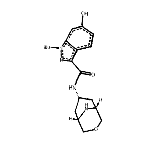 CC[C@H](C)n1nc(C(=O)N[C@H]2C[C@H]3COC[C@@H](C2)N3)c2ccc(O)cc21